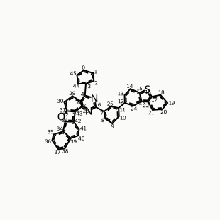 c1ccc(-c2nc(-c3cccc(-c4ccc5sc6ccccc6c5c4)c3)nc3c2ccc2oc4c5ccccc5ccc4c23)cc1